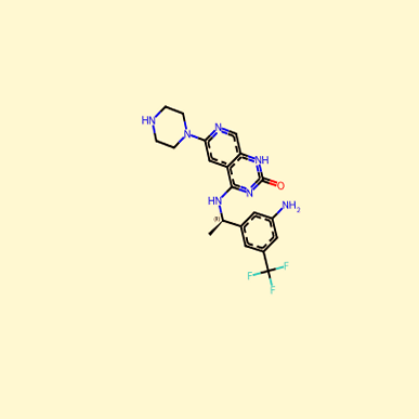 C[C@@H](Nc1nc(=O)[nH]c2cnc(N3CCNCC3)cc12)c1cc(N)cc(C(F)(F)F)c1